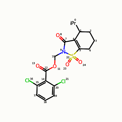 CC(C)C1CCCC2=C1C(=O)N(COC(=O)c1c(Cl)cccc1Cl)S2(=O)=O